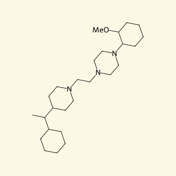 COC1CCCCC1N1CCN(CCN2CCC(C(C)C3CCCCC3)CC2)CC1